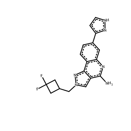 Nc1nc2cc(-c3cc[nH]n3)ccc2c2nn(CC3CC(F)(F)C3)cc12